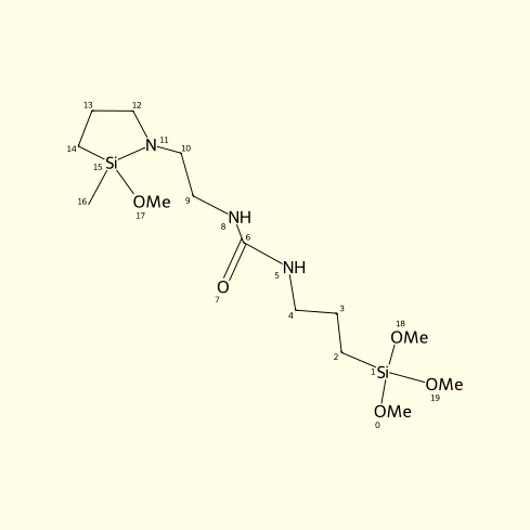 CO[Si](CCCNC(=O)NCCN1CCC[Si]1(C)OC)(OC)OC